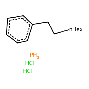 CCCCCCCCc1ccccc1.Cl.Cl.P